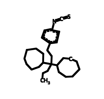 CCCC(CCc1ccc(N=C=S)cc1)(C1CCCCCCC1)C1CCCCCCC1